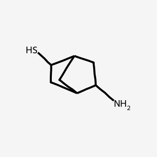 NC1CC2CC1CC2S